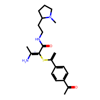 C=C(S/C(C(=O)NCCC1CCCN1C)=C(/C)N)c1ccc(C(C)=O)cc1